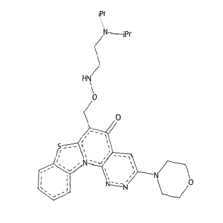 CC(C)N(CCNOCc1c(=O)c2cc(N3CCOCC3)nnc2n2c1sc1ccccc12)C(C)C